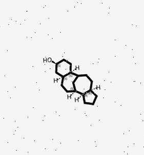 O[C@H]1CC[C@H]2C3CC[C@H]4CCC[C@H]4[C@@H](CC[C@H]2C1)C3